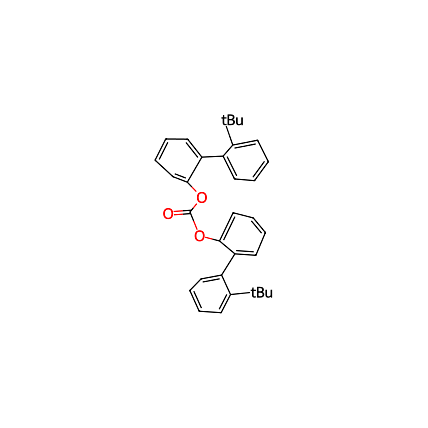 CC(C)(C)c1ccccc1-c1ccccc1OC(=O)Oc1ccccc1-c1ccccc1C(C)(C)C